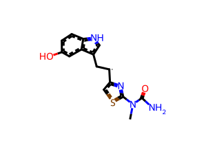 CN(C(N)=O)c1nc([CH]Cc2c[nH]c3ccc(O)cc23)cs1